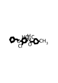 CC1CCC(C(=O)Nc2ccc(OCc3ccccc3)c(Cl)c2)C(C(=O)O)C1